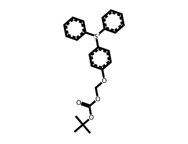 CC(C)(C)OC(=O)OCOc1ccc([S+](c2ccccc2)c2ccccc2)cc1